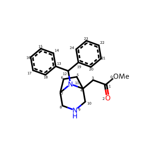 COC(=O)CC12CCC(CNC1)N2C(c1ccccc1)c1ccccc1